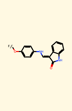 O=C1Nc2ccccc2C1=CNc1ccc(OC(F)(F)F)cc1